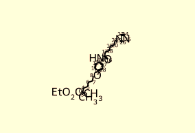 CCOC(=O)C(C)(C)CCCCCOc1ccc(NC(=O)CCCCCn2ccnc2)cc1